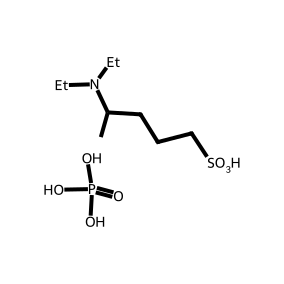 CCN(CC)C(C)CCCS(=O)(=O)O.O=P(O)(O)O